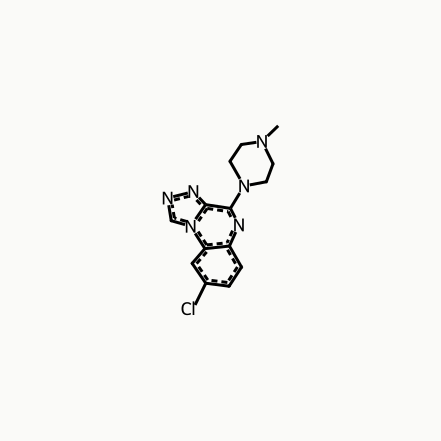 CN1CCN(c2nc3ccc(Cl)cc3n3cnnc23)CC1